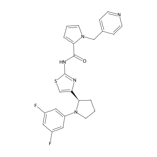 O=C(Nc1nc([C@H]2CCCN2c2cc(F)cc(F)c2)cs1)c1cccn1Cc1ccncc1